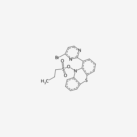 CCCS(=O)(=O)ON1c2ccccc2Sc2cccc(-c3nccc(Br)n3)c21